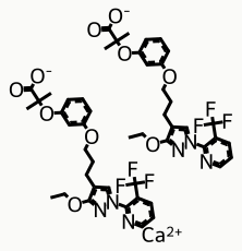 CCOc1nn(-c2ncccc2C(F)(F)F)cc1CCCOc1cccc(OC(C)(C)C(=O)[O-])c1.CCOc1nn(-c2ncccc2C(F)(F)F)cc1CCCOc1cccc(OC(C)(C)C(=O)[O-])c1.[Ca+2]